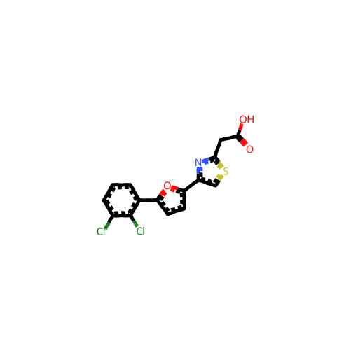 O=C(O)Cc1nc(-c2ccc(-c3cccc(Cl)c3Cl)o2)cs1